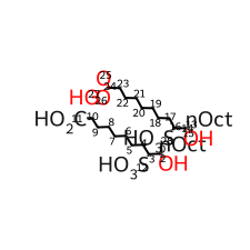 CCCCCCCCC(O)C(CCCCCCCC(=O)O)S(=O)(=O)O.CCCCCCCCC(O)C(CCCCCCCC(=O)OO)S(=O)(=O)O